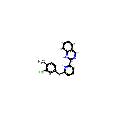 Cc1ccc(Cc2cccc(-c3ncc4ccccc4n3)n2)cc1Cl